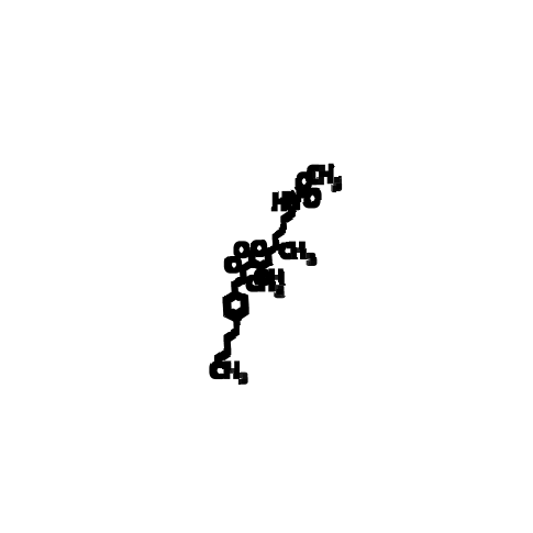 CCCCCc1ccc(/C=C(\C)C(=O)c2c(O)cc(C(C)CC/C=C/NC(=O)OC)oc2=O)cc1